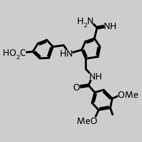 COc1cc(C(=O)NCc2ccc(C(=N)N)cc2NCc2ccc(C(=O)O)cc2)cc(OC)c1C